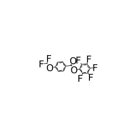 O=C(Oc1c(F)c(F)c(F)c(F)c1F)c1ccc(OC(F)F)cc1